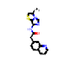 O=C(Cc1ccc2cccnc2c1)Nc1ncn2c(C(F)(F)F)csc12